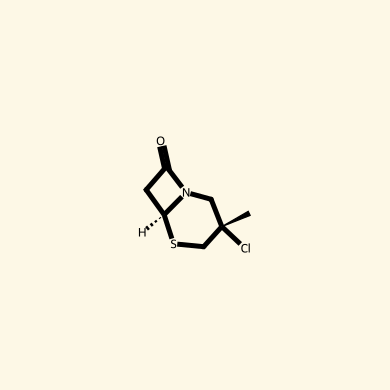 C[C@@]1(Cl)CS[C@H]2CC(=O)N2C1